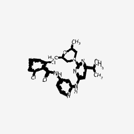 CC1CN(c2nc(Nc3cc(NC(=O)c4c(Cl)cccc4Cl)ccn3)cc(C(C)C)n2)CC(C)O1